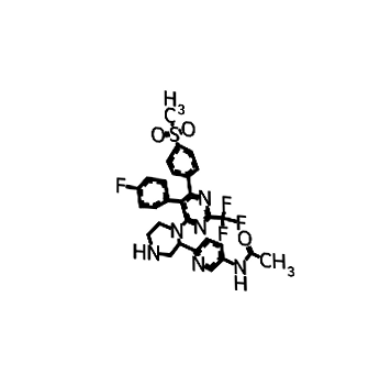 CC(=O)Nc1ccc(C2CNCCN2c2nc(C(F)(F)F)nc(-c3ccc(S(C)(=O)=O)cc3)c2-c2ccc(F)cc2)nc1